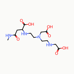 CNC(=O)CC(NCCN(CCNCC(=O)O)CC(=O)O)C(=O)O